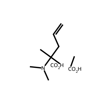 C=CCC(C)(C(=O)O)N(C)C.CC(=O)O